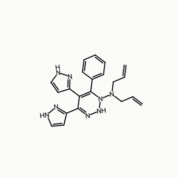 C=CCN(CC=C)N1NN=C(c2cc[nH]n2)C(c2cc[nH]n2)=C1c1ccccc1